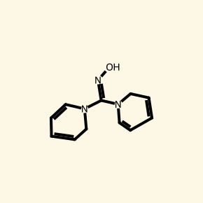 ON=C(N1C=CC=CC1)N1C=CC=CC1